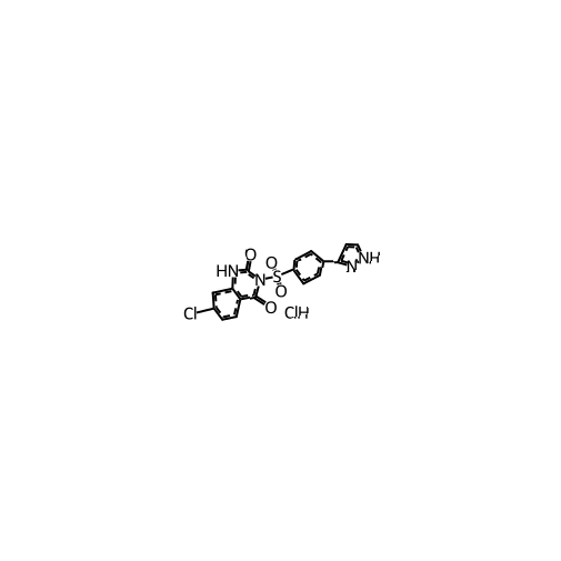 Cl.O=c1[nH]c2cc(Cl)ccc2c(=O)n1S(=O)(=O)c1ccc(-c2cc[nH]n2)cc1